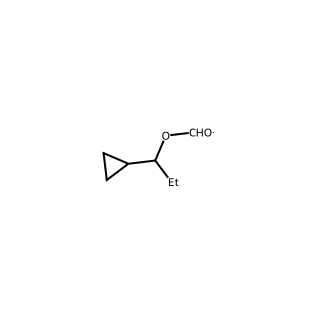 CCC(O[C]=O)C1CC1